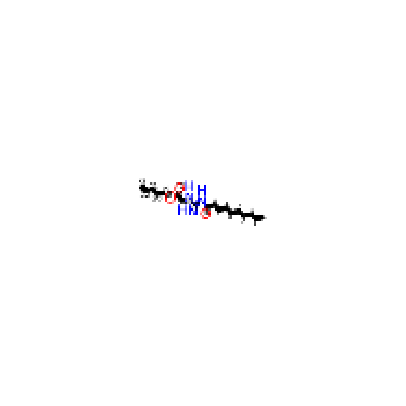 C=CCCCCCCCC(=O)NC(=N)NCC(=O)OCCCC=C